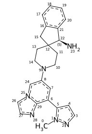 Cn1nccc1-c1cc(N2CCC3(CC2)Cc2ccccc2[C@H]3N)cn2ccnc12